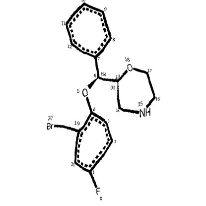 Fc1ccc(O[C@@H](c2ccccc2)[C@@H]2CNCCO2)c(Br)c1